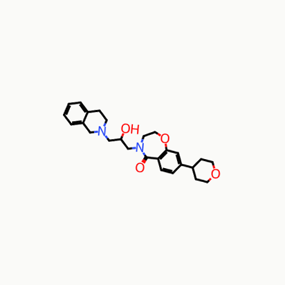 O=C1c2ccc(C3CCOCC3)cc2OCCN1CC(O)CN1CCc2ccccc2C1